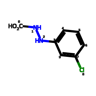 O=C(O)NNc1cccc(Cl)c1